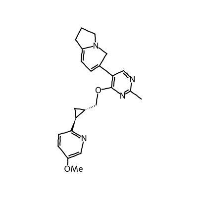 COc1ccc([C@H]2C[C@@H]2COc2nc(C)ncc2C2=CC=C3CCCN3C2)nc1